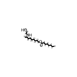 CCCCCCCC(=O)OCCCCCCCC(C)NCCO